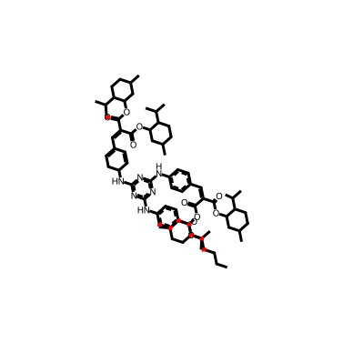 CCCCCOC(=O)c1ccc(Nc2nc(Nc3ccc(C=C(C(=O)OC4CC(C)CCC4C(C)C)C(=O)OC4CC(C)CCC4C(C)C)cc3)nc(NC3C=CC(C=C(C(=O)OC4CC(C)CCC4C(C)C)C(=O)OC4CC(C)CCC4C(C)C)=CC3)n2)cc1